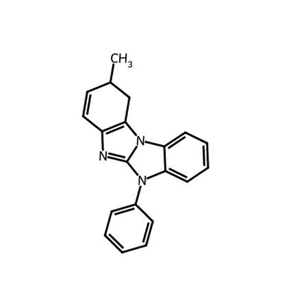 CC1C=Cc2nc3n(-c4ccccc4)c4ccccc4n3c2C1